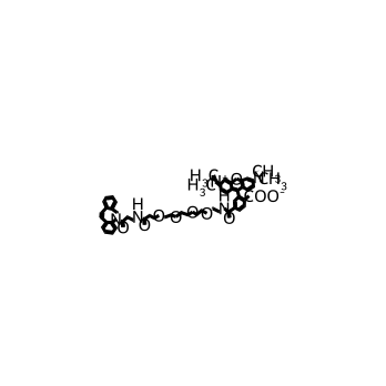 CN(C)c1ccc2c(-c3cc(C(=O)NCCOCCOCCOCCOCCC(=O)NCCC(=O)N4Cc5ccccc5C#Cc5ccccc54)ccc3C(=O)[O-])c3ccc(=[N+](C)C)cc-3oc2c1